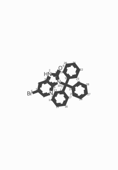 O=c1[nH]c2cc(Br)cnc2n1C(c1ccccc1)(c1ccccc1)c1ccccc1